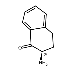 N[C@@H]1CCc2ccccc2C1=O